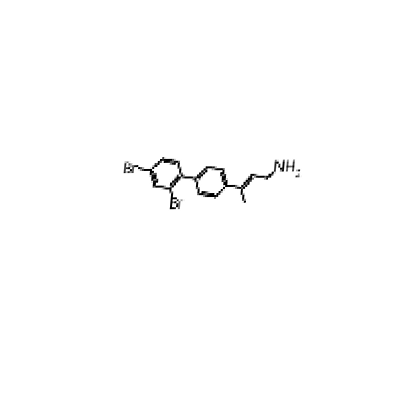 CC(=CCN)c1ccc(-c2ccc(Br)cc2Br)cc1